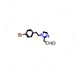 O=CCc1nccn1CCc1ccc(Br)cc1